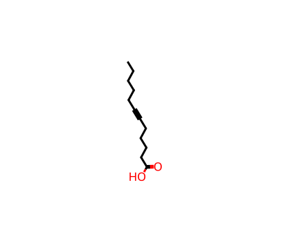 CCCCCC#CCCCCC(=O)O